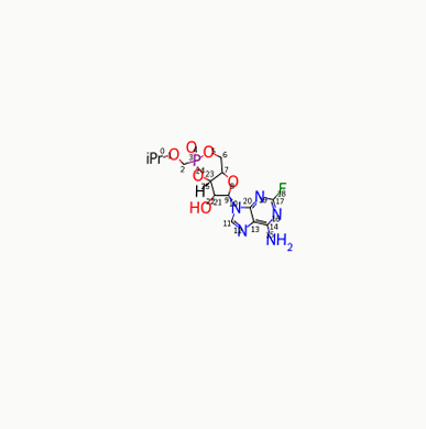 CC(C)OCP1(=O)OCC2O[C@@H](n3cnc4c(N)nc(F)nc43)[C@@H](O)[C@@H]2O1